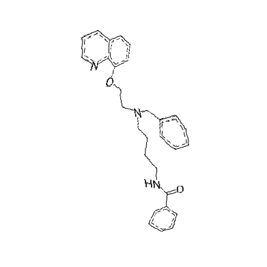 O=C(NCCCCN(CCOc1cccc2cccnc12)Cc1ccccc1)c1ccccc1